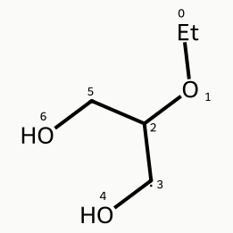 CCOC([CH]O)CO